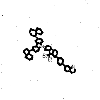 CCC1(CC)c2cc(-c3ccc(-c4ccc5cccnc5c4)cc3)ccc2-c2ccc(-n3c4ccc(-c5cccc6ccccc56)cc4c4cc(-c5cccc6ccccc56)ccc43)cc21